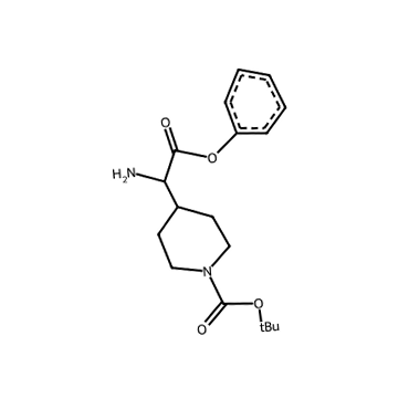 CC(C)(C)OC(=O)N1CCC(C(N)C(=O)Oc2ccccc2)CC1